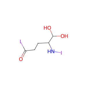 O=C(I)CCC(NI)C(O)O